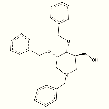 OC[C@H]1CN(Cc2ccccc2)C[C@H](OCc2ccccc2)[C@@H]1OCc1ccccc1